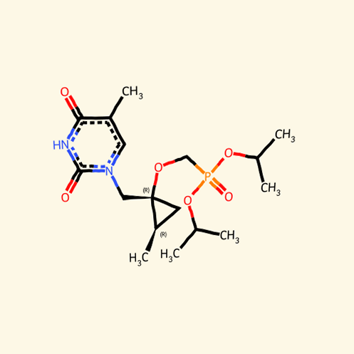 Cc1cn(C[C@@]2(OCP(=O)(OC(C)C)OC(C)C)C[C@H]2C)c(=O)[nH]c1=O